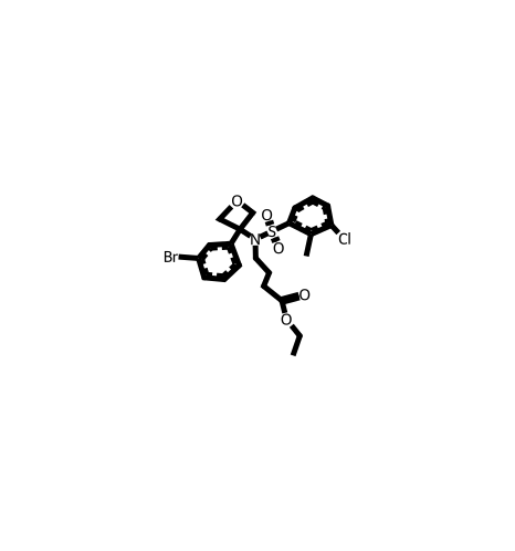 CCOC(=O)CCCN(C1(c2cccc(Br)c2)COC1)S(=O)(=O)c1cccc(Cl)c1C